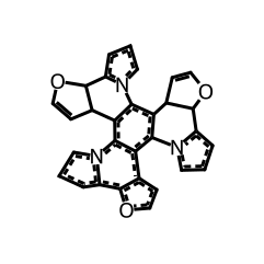 C1=CC2c3c(c4c(c5c6ccoc6c6cccn6c35)-n3cccc3C3OC=CC43)-n3cccc3C2O1